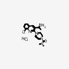 CC(N)c1cc2cccc(Cl)c2nc1N1CCN(C(=O)N(C)C)CC1.Cl